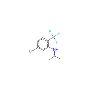 CC(C)Nc1cc(Br)ccc1C(F)(F)F